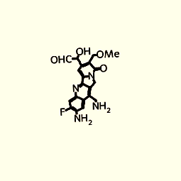 COCc1c(C(O)C=O)cc2n(c1=O)Cc1c-2nc2cc(F)c(N)cc2c1CN